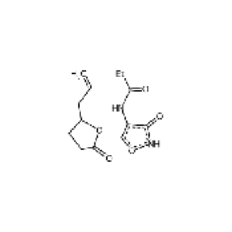 C=CCC1CCC(=O)O1.CCC(=O)Nc1co[nH]c1=O